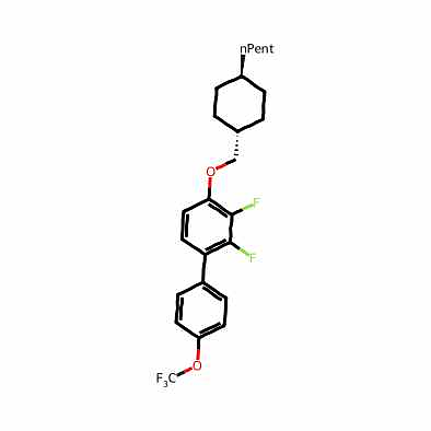 CCCCC[C@H]1CC[C@H](COc2ccc(-c3ccc(OC(F)(F)F)cc3)c(F)c2F)CC1